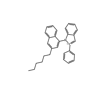 CCCCCCc1cc(-n2c3ccccc3c[13c]2-c2ccccc2)c2ccccc2c1